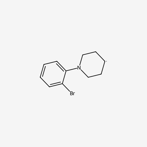 Brc1ccccc1N1CC[CH]CC1